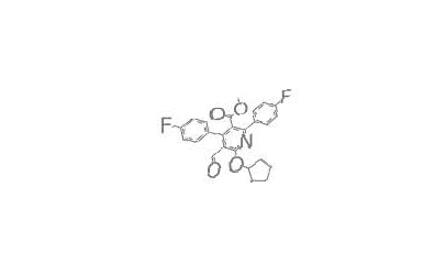 COC(=O)c1c(-c2ccc(F)cc2)nc(OC2CCCC2)c(C=O)c1-c1ccc(F)cc1